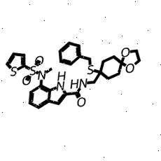 CN(c1cccc2cc(C(=O)NCC3(SCc4ccccc4)CCC4(CC3)OCCO4)[nH]c12)S(=O)(=O)c1cccs1